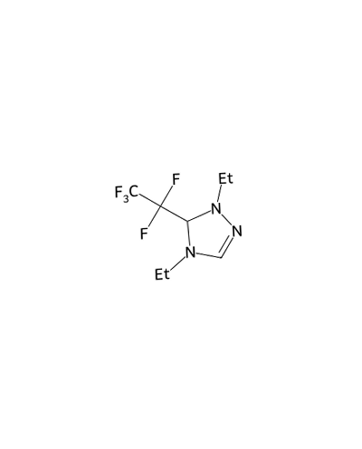 CCN1C=NN(CC)C1C(F)(F)C(F)(F)F